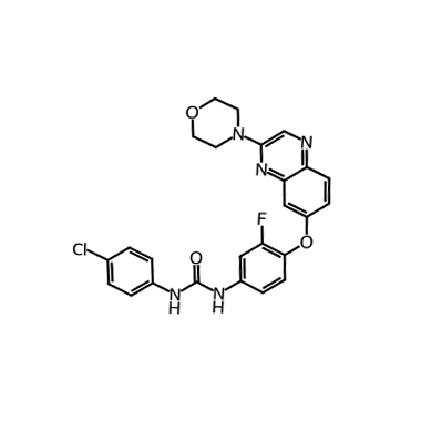 O=C(Nc1ccc(Cl)cc1)Nc1ccc(Oc2ccc3ncc(N4CCOCC4)nc3c2)c(F)c1